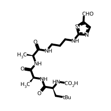 C[C@H](NC(=O)[C@H](C)NC(=O)[C@H](CC(C)(C)C)NC(=O)O)C(=O)NCCCNc1ncc(C=O)s1